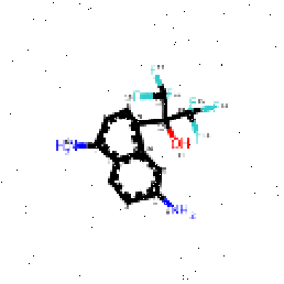 Nc1ccc2c(N)ccc(C(O)(C(F)(F)F)C(F)(F)F)c2c1